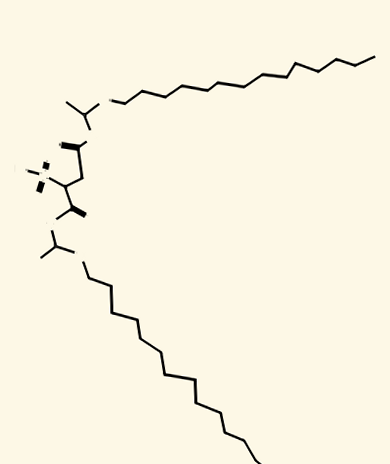 CCCCCCCCCCCCCCOC(C)OC(=O)CC(C(=O)OC(C)OCCCCCCCCCCCCCC)S(=O)(=O)O